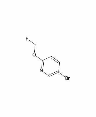 FCOc1ccc(Br)cn1